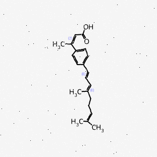 CC(C)=CCC/C(C)=C/C=C/c1ccc(/C(C)=C\C(=O)O)cc1